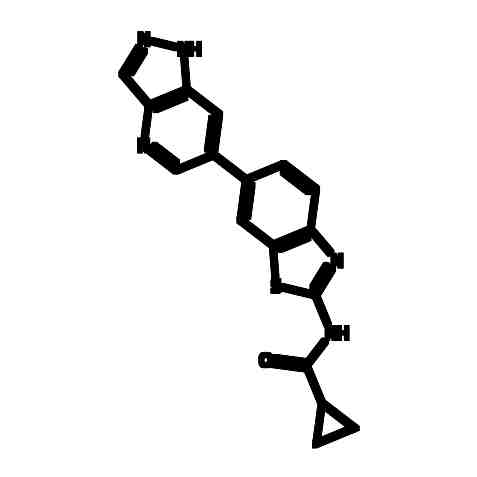 O=C(Nc1nc2ccc(-c3cnc4cn[nH]c4c3)cc2s1)C1CC1